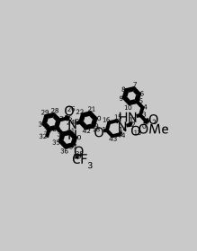 COC(=O)C(Cc1ccccc1)NC(=O)N1CCC(Oc2cccc(NC(=O)c3cccc(C)c3-c3ccc(OC(F)(F)F)cc3)c2)CC1